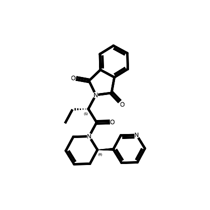 CC[C@@H](C(=O)N1CC=CC[C@@H]1c1cccnc1)N1C(=O)c2ccccc2C1=O